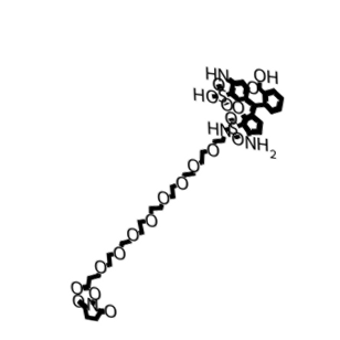 N=c1ccc2c(-c3ccccc3C(=O)O)c3ccc(N)c(S(=O)(=O)NCCOCCOCCOCCOCCOCCOCCOCCOCCC(=O)ON4C(=O)CCC4=O)c3oc-2c1S(=O)(=O)O